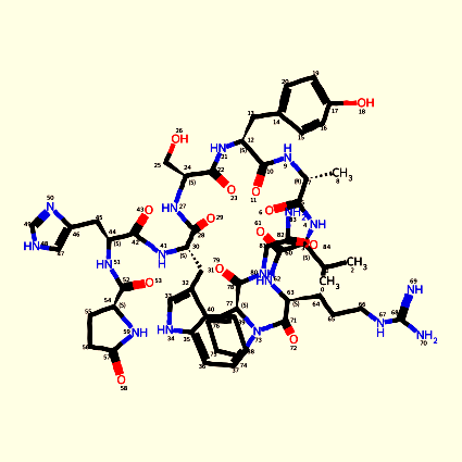 CC(C)[C@H](NC(=O)[C@@H](C)NC(=O)[C@H](Cc1ccc(O)cc1)NC(=O)[C@H](CO)NC(=O)[C@H](Cc1c[nH]c2ccccc12)NC(=O)[C@H](Cc1c[nH]cn1)NC(=O)[C@@H]1CCC(=O)N1)C(=O)N[C@@H](CCCNC(=N)N)C(=O)N1CCC[C@H]1C(=O)NCC(N)=O